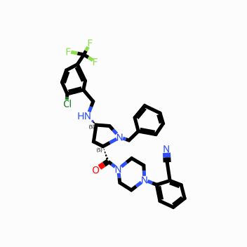 N#Cc1ccccc1N1CCN(C(=O)[C@@H]2C[C@H](NCc3cc(C(F)(F)F)ccc3Cl)CN2Cc2ccccc2)CC1